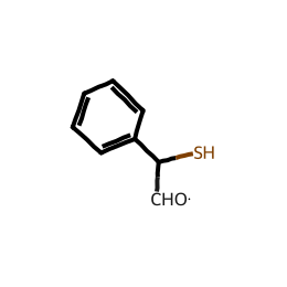 O=[C]C(S)c1ccccc1